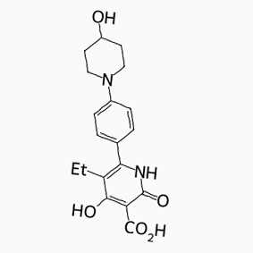 CCc1c(-c2ccc(N3CCC(O)CC3)cc2)[nH]c(=O)c(C(=O)O)c1O